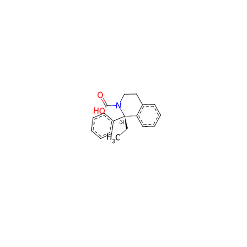 CC[C@]1(c2ccccc2)c2ccccc2CCN1C(=O)O